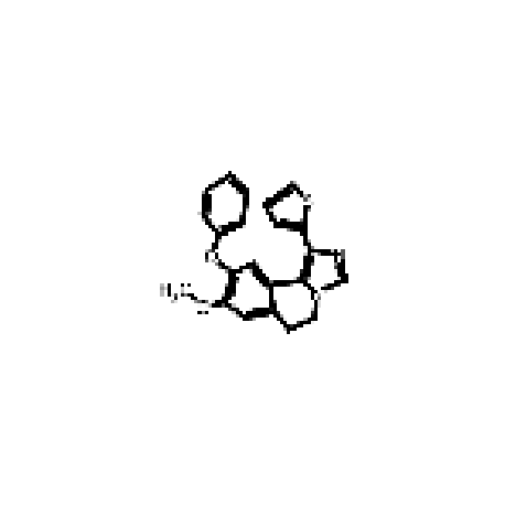 COc1cc2c(cc1Oc1ccccc1)-c1c(-c3cccs3)ncn1CC2